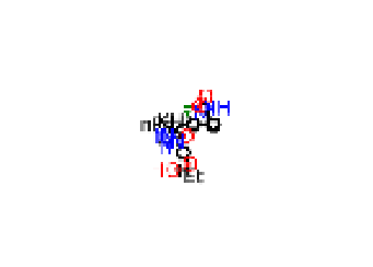 CCCc1c(Cc2ccc(-c3ccccc3-c3noc(=O)[nH]3)cc2F)c(=O)n(C2CCC(OC(CC)C(C)(C)O)CC2)c2ncnn12.[KH]